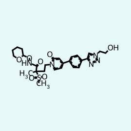 CC(CCn1ccc(-c2ccc(-c3cn(CCO)nn3)cc2)cc1=O)(C(=O)NOC1CCCCO1)S(C)(=O)=O